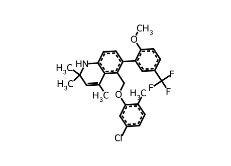 COc1ccc(C(F)(F)F)cc1-c1ccc2c(c1COc1cc(Cl)ccc1C)C(C)=CC(C)(C)N2